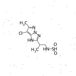 Cc1nn2nc(C(C)CN[SH](=O)=O)[nH]c2c1Cl